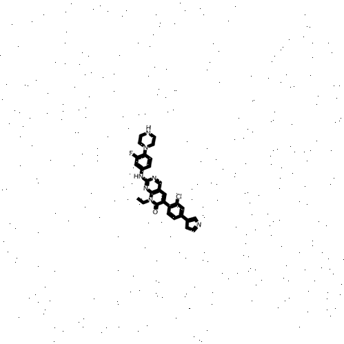 CCn1c(=O)c(-c2ccc(C3=CN=CC3)cc2Cl)cc2cnc(Nc3ccc(N4CCNCC4)c(F)c3)nc21